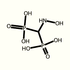 O=P(O)(O)C(NO)P(=O)(O)O